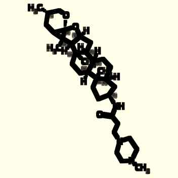 C[C@@H]1CO[C@]23O[C@H]4C[C@H]5[C@@H]6CC[C@@H]7C[C@@H](NC(=O)CCN8CCN(C)CC8)CC[C@]7(C)[C@H]6CC[C@]5(C)[C@H]4[C@]2(C)C3C1